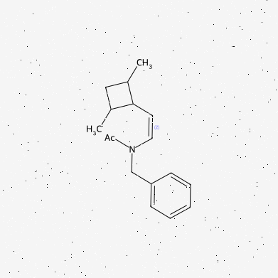 CC(=O)N(/C=C\C1C(C)CC1C)Cc1ccccc1